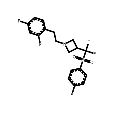 O=S(=O)(c1ccc(F)cc1)C(F)(F)C1CN(CCc2ccc(F)cc2F)C1